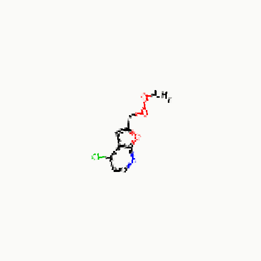 COOCc1cc2c(Cl)ccnc2o1